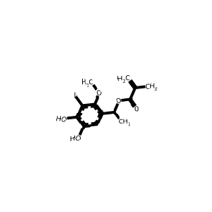 C=C(C)C(=O)OC(C)c1cc(O)c(O)c(I)c1OC